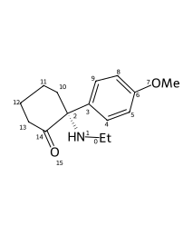 CCN[C@@]1(c2ccc(OC)cc2)CCCCC1=O